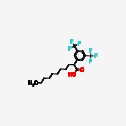 CCCCCCCCCC(C(=O)O)c1cc(C(F)(F)F)cc(C(F)(F)F)c1